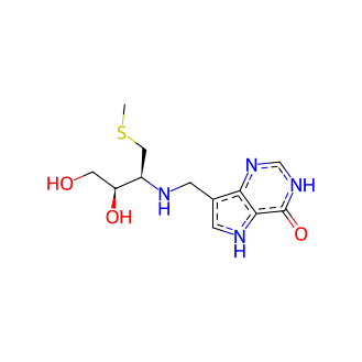 CSC[C@@H](NCc1c[nH]c2c(=O)[nH]cnc12)[C@@H](O)CO